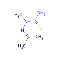 CC(C)=NN(C)C(N)=S